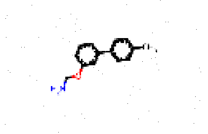 Cc1ccc(-c2cccc(OCN)c2)cc1